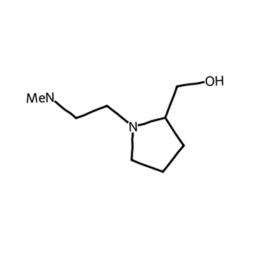 CNCCN1CCCC1CO